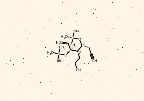 C#CC[C@@H](O[Si](C)(C)C(C)(C)C)[C@@H](CCO)[C@H](C=C)O[Si](C)(C)C(C)(C)C